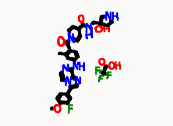 COc1ccc(-c2cnc3c(Nc4ccc(C(=O)N5CCC(C(=O)NCC6(O)CCNC6)CC5)c(C)c4)nccn23)cc1F.O=C(O)C(F)(F)F